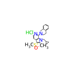 Cc1c([S+](C)[O-])c2ccnc(N3CCc4ccccc4C3)c2n1CC1CC1.Cl